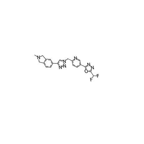 CN1Cc2ccc(-c3cn(Cc4ccc(-c5nnc(C(F)F)o5)cn4)nn3)cc2C1